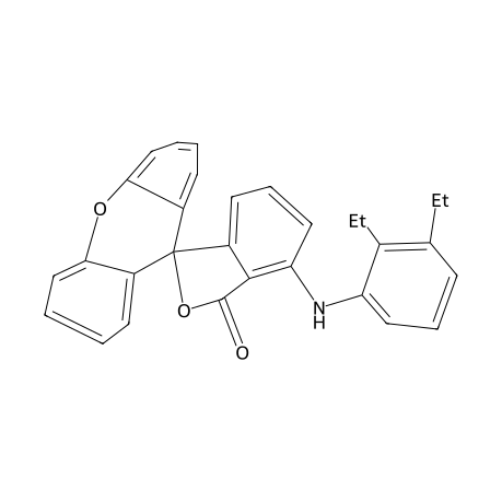 CCc1cccc(Nc2cccc3c2C(=O)OC32c3ccccc3Oc3ccccc32)c1CC